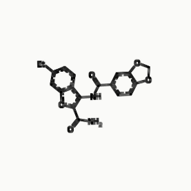 CCc1ccc2c(NC(=O)c3ccc4c(c3)OCO4)c(C(N)=O)oc2c1